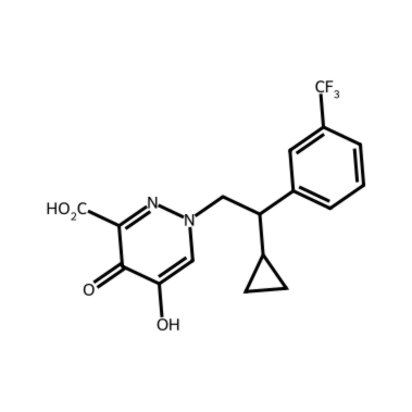 O=C(O)c1nn(CC(c2cccc(C(F)(F)F)c2)C2CC2)cc(O)c1=O